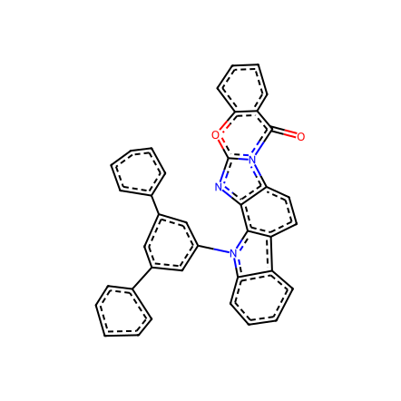 O=c1c2ccccc2oc2nc3c4c(ccc3n12)c1ccccc1n4-c1cc(-c2ccccc2)cc(-c2ccccc2)c1